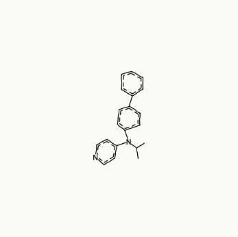 CC(C)N(c1ccncc1)c1ccc(-c2ccccc2)cc1